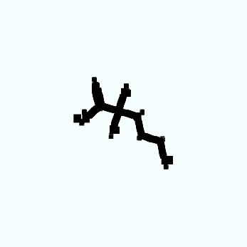 CCC(CC)(OCCS)C(N)=O